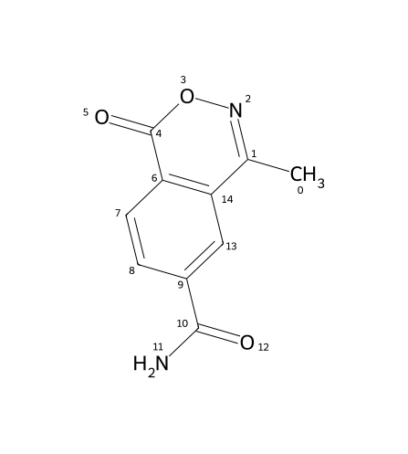 Cc1noc(=O)c2ccc(C(N)=O)cc12